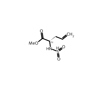 C=CC[C@H](N[SH](=O)=O)C(=O)OC